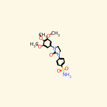 COc1cc(N2CCN(c3ccc(S(N)(=O)=O)cc3)C2=O)cc(OC)c1OC